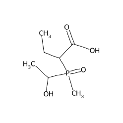 CCC(C(=O)O)P(C)(=O)C(C)O